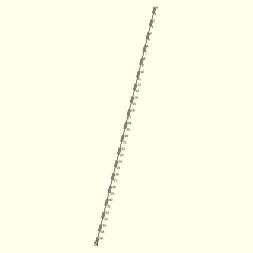 C#CC#CC#CC#CC#CC#CC#CC#CC#CC#CC#CC#CC#CC#CC#CC#CC#CC#CC#N